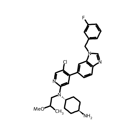 COC(C)CN(c1cc(-c2ccc3ncn(Cc4cccc(F)c4)c3c2)c(Cl)cn1)[C@H]1CC[C@H](N)CC1